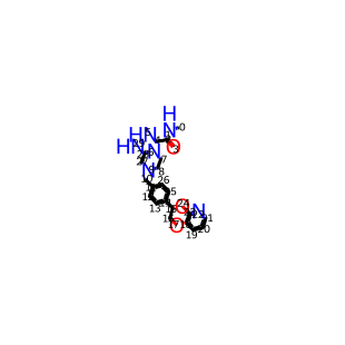 CNC(=O)C(=N)N1CCN(Cc2ccc(C3COc4cccnc4O3)cc2)CC1=N